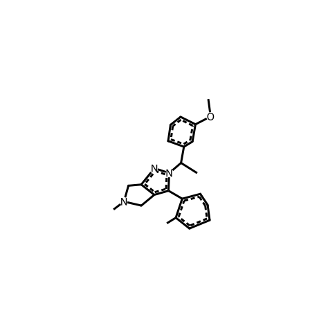 COc1cccc(C(C)n2nc3c(c2-c2ccccc2C)CN(C)C3)c1